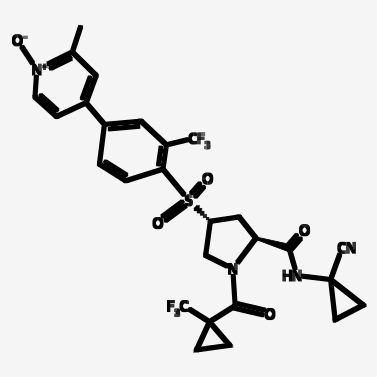 Cc1cc(-c2ccc(S(=O)(=O)[C@@H]3C[C@@H](C(=O)NC4(C#N)CC4)N(C(=O)C4(C(F)(F)F)CC4)C3)c(C(F)(F)F)c2)cc[n+]1[O-]